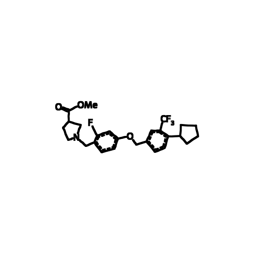 COC(=O)C1CCN(Cc2ccc(OCc3ccc(C4CCCC4)c(C(F)(F)F)c3)cc2F)C1